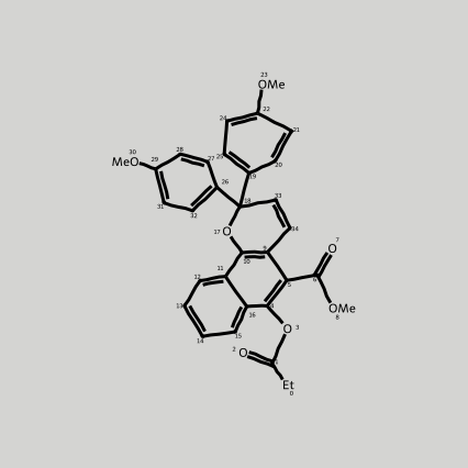 CCC(=O)Oc1c(C(=O)OC)c2c(c3ccccc13)OC(c1ccc(OC)cc1)(c1ccc(OC)cc1)C=C2